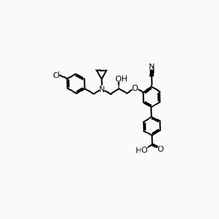 N#Cc1ccc(-c2ccc(C(=O)O)cc2)cc1OC[C@H](O)CN(Cc1ccc(Cl)cc1)C1CC1